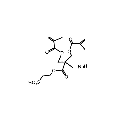 C=C(C)C(=O)OCC(C)(COC(=O)C(=C)C)C(=O)OCCS(=O)(=O)O.[NaH]